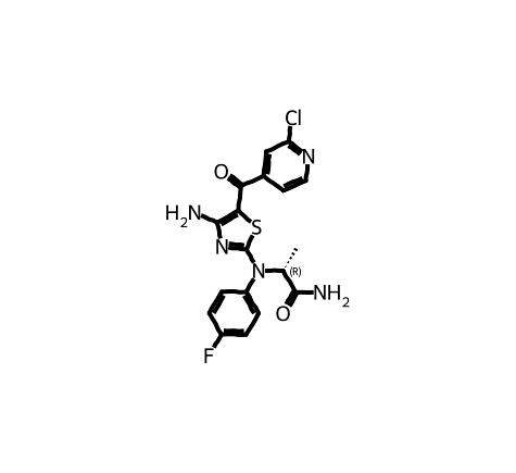 C[C@H](C(N)=O)N(c1ccc(F)cc1)c1nc(N)c(C(=O)c2ccnc(Cl)c2)s1